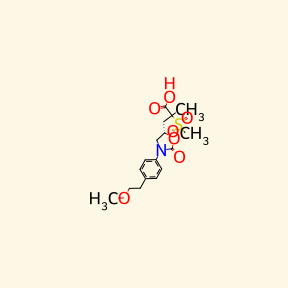 COCCc1ccc(N2C[C@H](CC(C)(C(=O)O)S(C)(=O)=O)OC2=O)cc1